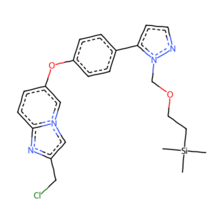 C[Si](C)(C)CCOCn1nccc1-c1ccc(Oc2ccc3nc(CCl)cn3c2)cc1